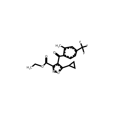 CCOC(=O)c1noc(C2CC2)c1C(=O)c1ccc(C(F)(F)F)cc1C